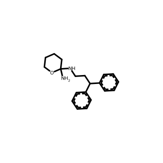 NC1(NCCC(c2ccccc2)c2ccccc2)CCCCO1